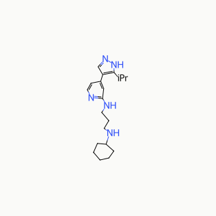 CC(C)c1[nH]ncc1-c1ccnc(NCCCNC2CCCCC2)c1